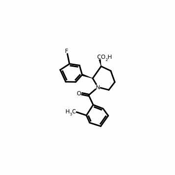 Cc1ccccc1C(=O)N1CCC[C@H](C(=O)O)[C@@H]1c1cccc(F)c1